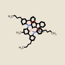 CCCCc1ccc(N2B3c4c(cc(C)cc4N(c4ccc(CCCC)cc4-c4ccccc4)c4ccc5c(c43)C(C)(C)c3ccccc3-5)-c3cc(CCCC)ccc32)cc1